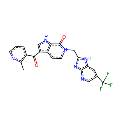 Cc1ncccc1C(=O)c1c[nH]c2c(=O)n(Cc3nc4ncc(C(F)(F)F)cc4[nH]3)ccc12